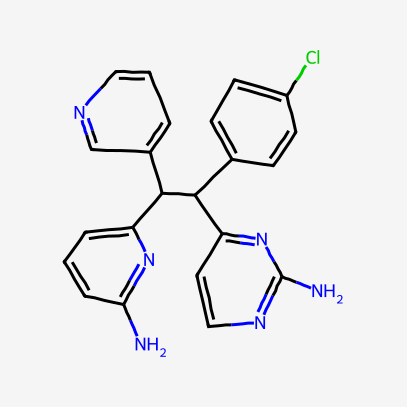 Nc1cccc(C(c2cccnc2)C(c2ccc(Cl)cc2)c2ccnc(N)n2)n1